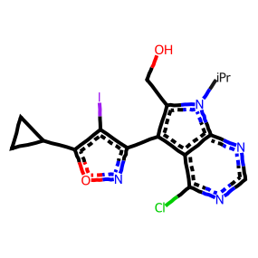 CC(C)n1c(CO)c(-c2noc(C3CC3)c2I)c2c(Cl)ncnc21